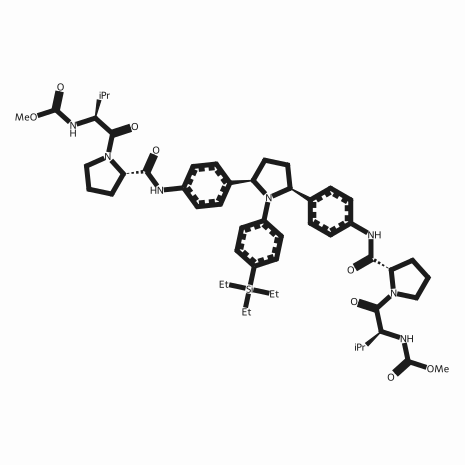 CC[Si](CC)(CC)c1ccc(N2[C@@H](c3ccc(NC(=O)[C@@H]4CCCN4C(=O)[C@@H](NC(=O)OC)C(C)C)cc3)CC[C@H]2c2ccc(NC(=O)[C@@H]3CCCN3C(=O)[C@@H](NC(=O)OC)C(C)C)cc2)cc1